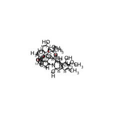 COc1cc2c(cc1O)CCN[C@]21CS[C@@H]2c3c(OC(C)=O)c(OC)c4c(c3[C@H](COC1=O)N1[C@@H]2[C@@H]2c3c(cc(C)c(OC)c3O)CC1(O)CN2C)OCO4